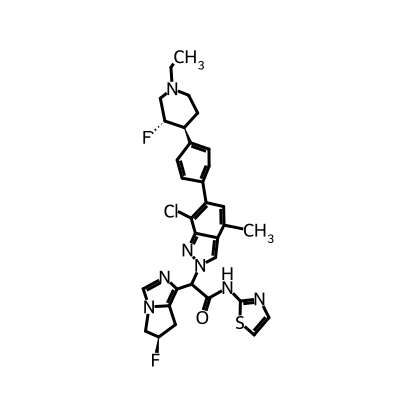 CCN1CC[C@@H](c2ccc(-c3cc(C)c4cn(C(C(=O)Nc5nccs5)c5ncn6c5C[C@@H](F)C6)nc4c3Cl)cc2)[C@H](F)C1